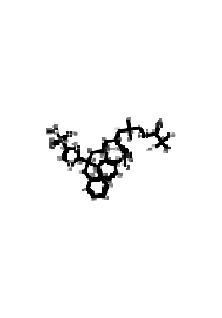 CC(C)(CNC(=O)C(F)(F)F)CC(C#N)CCCC(Cc1ccccc1)(c1cccc(N)c1O)C1OC=C(S(=O)(=O)O)O1